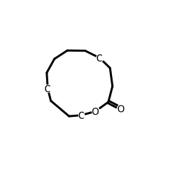 O=C1CCCCCCCCCCCO1